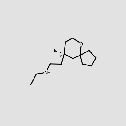 ICNCC[C@@]1(I)CCOC2(CCCC2)C1